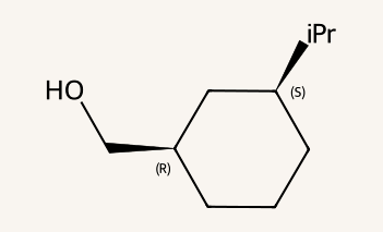 CC(C)[C@H]1CCC[C@@H](CO)C1